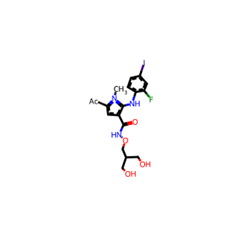 CC(=O)c1cc(C(=O)NOCC(CO)CO)c(Nc2ccc(I)cc2F)n1C